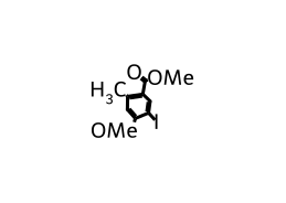 COC(=O)c1cc(I)c(OC)cc1C